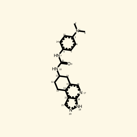 CN(C)c1ccc(NC(=O)NC2CCc3c(cnc4[nH]ncc34)C2)cc1